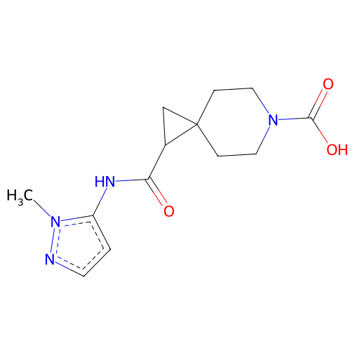 Cn1nccc1NC(=O)C1CC12CCN(C(=O)O)CC2